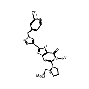 CCCn1c(N2CCC[C@H]2COC)nc2nc(-c3cnn(Cc4cccc(C(F)(F)F)c4)c3)[nH]c2c1=O